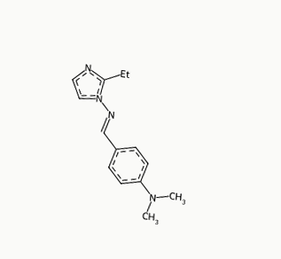 CCc1nccn1N=Cc1ccc(N(C)C)cc1